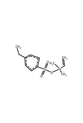 C=C[Si](C)(C)OS(=O)(=O)c1ccc(CC)cc1